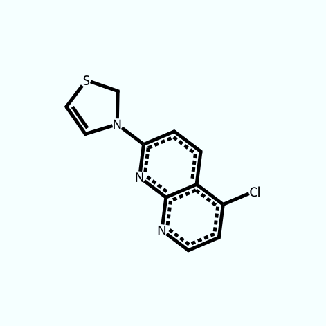 Clc1ccnc2nc(N3C=CSC3)ccc12